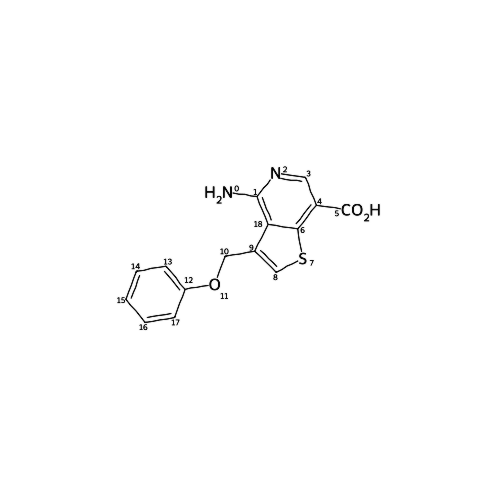 Nc1ncc(C(=O)O)c2scc(COc3ccccc3)c12